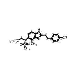 CCOC(=O)CN(c1ccc2[nH]c(CCc3ccc(C#N)cc3)nc2c1C)S(C)(=O)=O